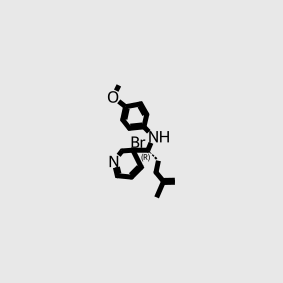 C=C(C)CC[C@@H](Nc1ccc(OC)cc1)C1(Br)C=CC=NC1